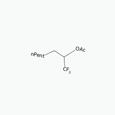 CCCCCCC(OC(C)=O)C(F)(F)F